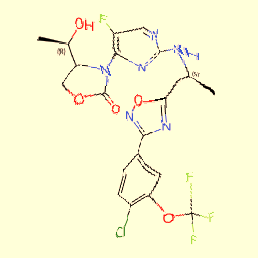 C[C@H](Nc1ncc(F)c(N2C(=O)OCC2[C@@H](C)O)n1)c1nc(-c2ccc(Cl)c(OC(F)(F)F)c2)no1